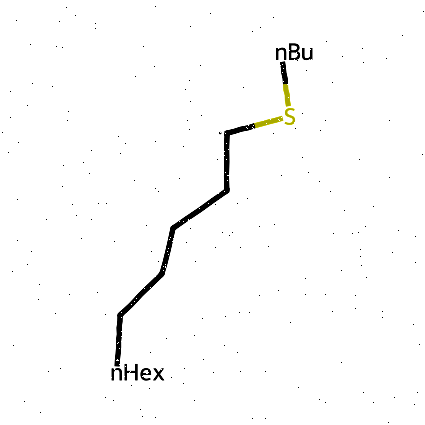 CCCCCCCCCC[CH]SCCCC